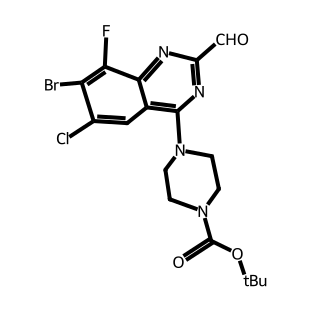 CC(C)(C)OC(=O)N1CCN(c2nc(C=O)nc3c(F)c(Br)c(Cl)cc23)CC1